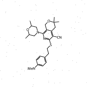 CNc1ccc(CCSc2nc(N3CC(C)OC(C)C3)c3c(c2C#N)CC(C)(C)OC3)cc1